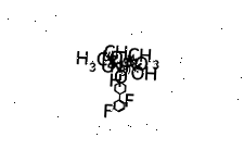 C[C@@H]1C[C@H](NS(=O)(=O)N(C)C)[C@H](COC2CCC(c3cc(F)ccc3F)CC2)N1C(=O)O